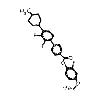 CCCCCCOc1ccc(OC(=O)c2ccc(-c3ccc(C4CCC(C)CC4)c(F)c3F)cc2)c(F)c1